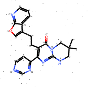 CC1(C)CNc2nc(-c3ccncn3)c(CCc3coc4ncccc34)c(=O)n2C1